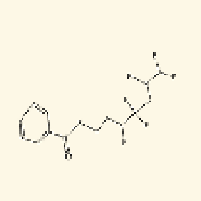 O=C(SCCC(F)C(F)(F)CC(F)C(F)F)c1ccccc1